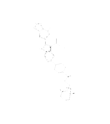 Cc1cc(-c2[nH]c3ccc(C4CCN(C(=O)CCN5[C@@H]6CC[C@H]5COC6)CC4)cc3c2C(C)C)cn2nnnc12